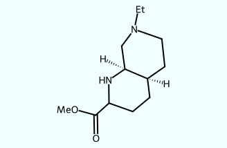 CCN1CC[C@H]2CCC(C(=O)OC)N[C@H]2C1